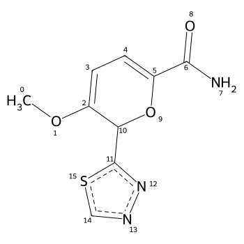 COC1=CC=C(C(N)=O)OC1c1nncs1